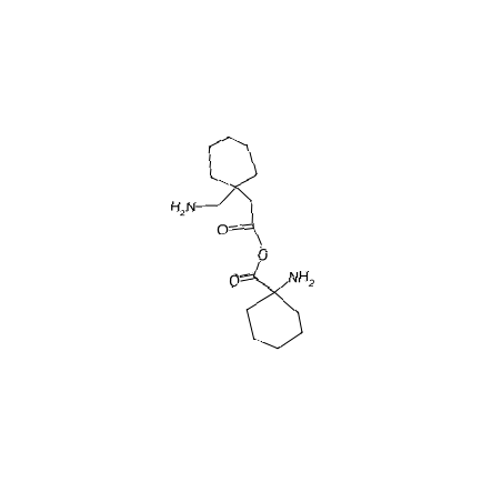 NCC1(CC(=O)OC(=O)C2(N)CCCCC2)CCCCC1